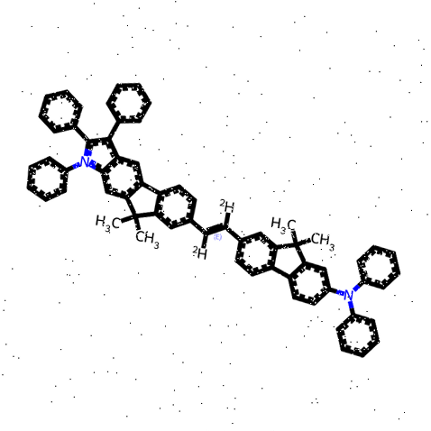 [2H]/C(=C(/[2H])c1ccc2c(c1)C(C)(C)c1cc3c(cc1-2)c(-c1ccccc1)c(-c1ccccc1)n3-c1ccccc1)c1ccc2c(c1)C(C)(C)c1cc(N(c3ccccc3)c3ccccc3)ccc1-2